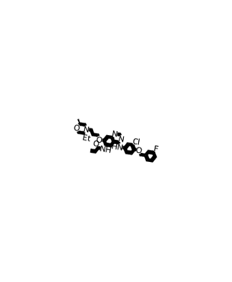 C=CC(=O)Nc1cc2c(Nc3ccc(OCc4cccc(F)c4)c(Cl)c3)ncnc2cc1OCCCN1C[C@H](C)OC[C@@H]1CC